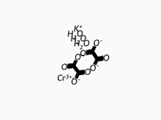 O.O.O.O=C([O-])C(=O)[O-].O=C([O-])C(=O)[O-].[Cr+3].[K+]